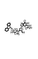 [2H]CC1OC(n2cnc3c(=O)[nH]c(NC(=O)C(C)C)nc32)C[C@@H]1NC(=O)C(C)NC(=O)OCC1c2ccccc2-c2ccccc21